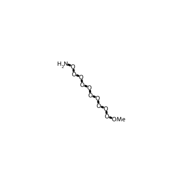 COOOOOOOOOOON